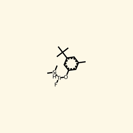 Cc1cc([O][Ti]([F])[SiH](C)C)cc(C(C)(C)C)c1